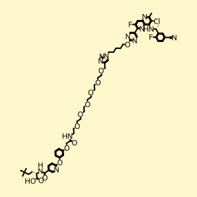 Cc1nc2cc(F)c(-c3cnc(OCCCCCn4cc(COCCOCCOCCOCCOCCOCCNC(=O)COc5cccc(Oc6ccc(C(=O)N[C@@H](CCC(C)(C)C)C(=O)O)cn6)c5)nn4)nc3)nc2c(N[C@H](C)c2cc(C#N)ccc2F)c1Cl